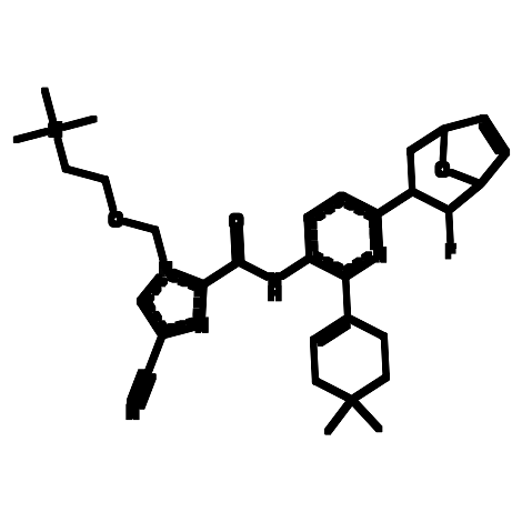 CC1(C)CC=C(c2nc(C3CC4C=CC(O4)C3F)ccc2NC(=O)c2nc(C#N)cn2COCC[Si](C)(C)C)CC1